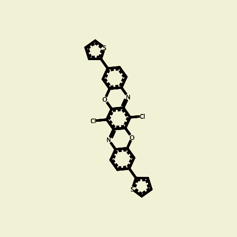 Clc1c2c(c(Cl)c3c1=Nc1ccc(-c4cccs4)cc1O3)=Nc1ccc(-c3cccs3)cc1O2